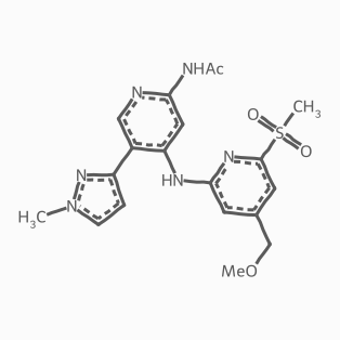 COCc1cc(Nc2cc(NC(C)=O)ncc2-c2ccn(C)n2)nc(S(C)(=O)=O)c1